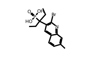 CCC(CC)(c1cc2ccc(C)cc2nc1Br)P(=O)(O)O